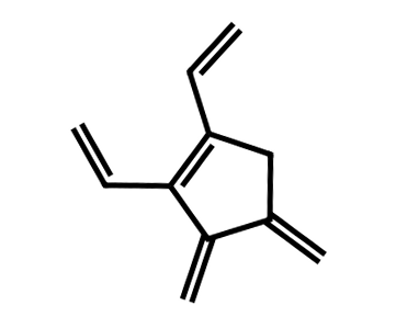 C=CC1=C(C=C)C(=C)C(=C)C1